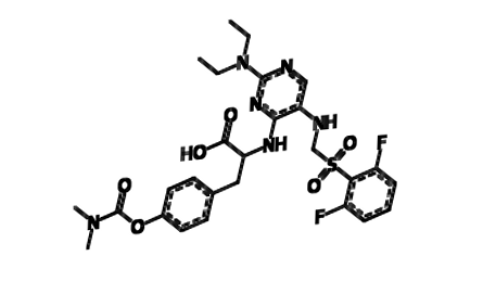 CCN(CC)c1ncc(NCS(=O)(=O)c2c(F)cccc2F)c(NC(Cc2ccc(OC(=O)N(C)C)cc2)C(=O)O)n1